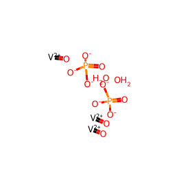 O.O.O=P([O-])([O-])[O-].O=P([O-])([O-])[O-].[O]=[V+2].[O]=[V+2].[O]=[V+2]